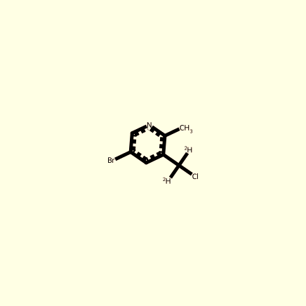 [2H]C([2H])(Cl)c1cc(Br)cnc1C